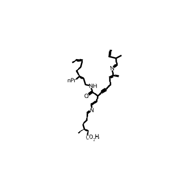 C=CC(C)/C=N/C(C)=C/CC#CC(/C=C/N=C/CC[C@H](C)CC(=O)O)C(=O)NC/C=C(\CCC)CC/C=C\C